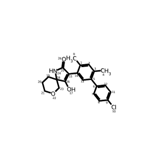 Cc1cc(C)c(-c2ccc(Cl)cc2)cc1C1=C(O)C2(CCCOC2)NC1=O